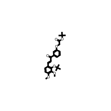 COc1ccc(/C=C/C(=O)c2cccc(OCC(=O)OC(C)(C)C)c2)c(OC(C)(C)C)c1OC